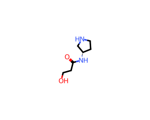 O=C(CCO)N[C@H]1CCNC1